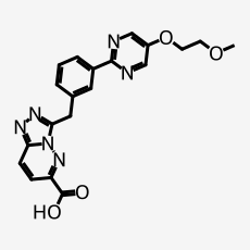 COCCOc1cnc(-c2cccc(Cc3nnc4ccc(C(=O)O)nn34)c2)nc1